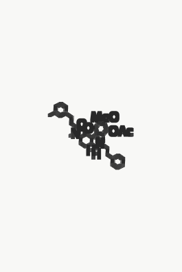 COc1cc(OC(C)=O)c2c3c1O[C@H]1[C@@H](N(C)C(=O)C=Cc4cccc(C)c4)CC[C@H]4[C@@H](C2)N(CCc2ccccc2)CC[C@@]341